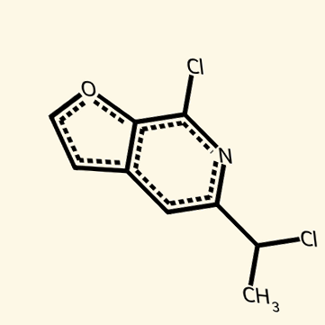 CC(Cl)c1cc2ccoc2c(Cl)n1